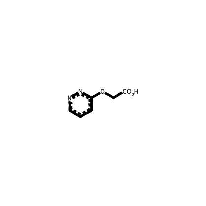 O=C(O)COc1cccnn1